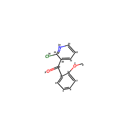 COc1ccccc1C(=O)c1cccnc1Cl